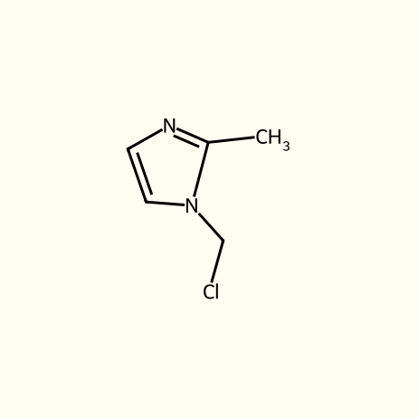 Cc1nccn1CCl